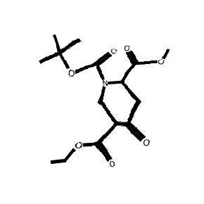 CCOC(=O)C1CN(C(=O)OC(C)(C)C)C(C(=O)OC)CC1=O